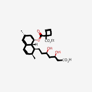 CCOC(=O)C1(C(=O)O[C@H]2C[C@@H](C)C=C3C=C[C@H](C)[C@H](CC[C@@H](O)C[C@@H](O)CC(=O)O)[C@H]32)CCC1